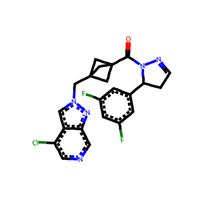 O=C(N1N=CCC1c1cc(F)cc(F)c1)C12CC(Cn3cc4c(Cl)cncc4n3)(C1)C2